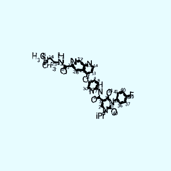 CC(C)n1cc(C(=O)Nc2ccc(Oc3ccnc4cnc(C(=O)NCCN(C)C)cc34)cn2)c(=O)n(-c2ccc(F)cc2)c1=O